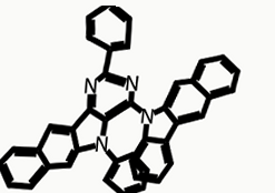 c1ccc(-c2nc(-n3c4ccccc4c4cc5ccccc5cc43)c3c(n2)c2cc4ccccc4cc2n3-c2ccccc2)cc1